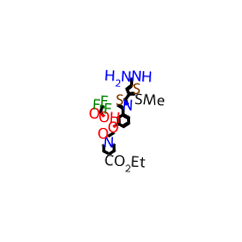 CCOC(=O)C1CCN(C(=O)COc2cccc(-c3csc(-c4cc(C(=N)N)sc4SC)n3)c2)CC1.O=C(O)C(F)(F)F